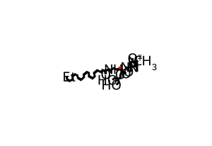 CC/C=C\C/C=C\C/C=C\C/C=C\C/C=C\C/C=C\CCC(=O)NCCCCC(NC(=O)c1c[n+]([O-])c(C)cn1)C(=O)OCC(CO)CO